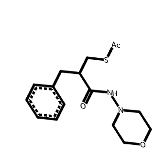 CC(=O)SCC(Cc1ccccc1)C(=O)NN1CCOCC1